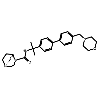 CC(C)(NC(=O)N1CCN2CCC1CC2)c1ccc(-c2ccc(CN3CCOCC3)cc2)cc1